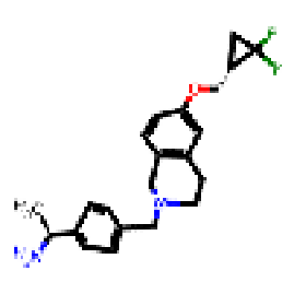 C[C@H](N)c1ccc(CN2CCc3cc(OC[C@@H]4CC4(F)F)ccc3C2)cc1